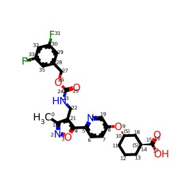 Cc1noc(-c2ccc(O[C@H]3CCC[C@H](C(=O)O)C3)cn2)c1CNC(=O)OCc1cc(F)cc(F)c1